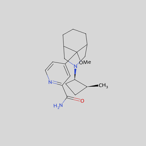 COC1(c2ccnc(C(N)=O)c2)C2CCCC1CN([C@@H]1CC[C@@H]1C)C2